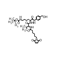 CC(C)[C@H](NC(=O)CCCCCN1C(=O)C=CC1=O)C(=O)N[C@@H](CCCCNC(=O)OC(C)(C)C)C(=O)Nc1ccc(CO)cc1